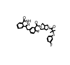 CC(C)(Sc1cccc(F)c1)C(=O)N1CC2CN(C(=O)c3cc(Cc4n[nH]c(=O)c5ccccc45)ccc3F)CC2C1